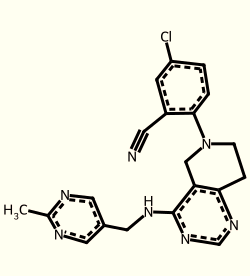 Cc1ncc(CNc2ncnc3c2CN(c2ccc(Cl)cc2C#N)CC3)cn1